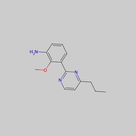 CCCc1ccnc(-c2cccc(N)c2OC)n1